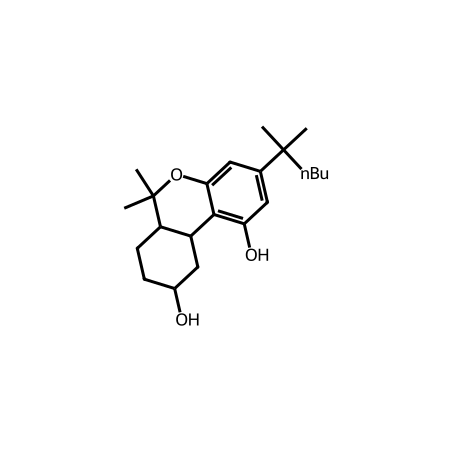 CCCCC(C)(C)c1cc(O)c2c(c1)OC(C)(C)C1CCC(O)CC21